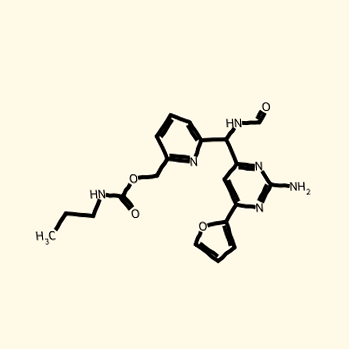 CCCNC(=O)OCc1cccc(C(NC=O)c2cc(-c3ccco3)nc(N)n2)n1